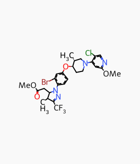 COC(=O)CC1C(C)C(C(F)(F)F)=NN1c1ccc(O[C@@H]2CCN(c3cc(OC)ncc3Cl)C[C@H]2C)cc1Br